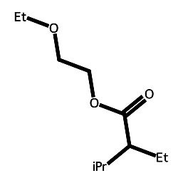 CCOCCOC(=O)C(CC)C(C)C